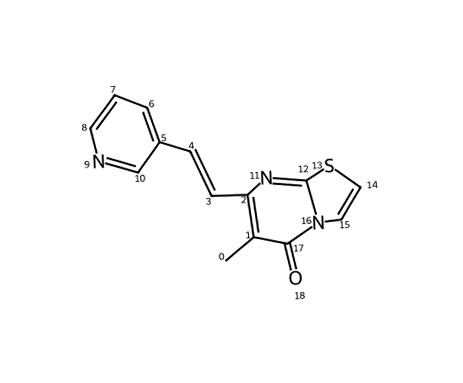 Cc1c(/C=C/c2cccnc2)nc2sccn2c1=O